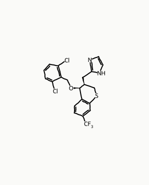 FC(F)(F)c1ccc2c(c1)SC[C@H](Cc1ncc[nH]1)[C@@H]2OCc1c(Cl)cccc1Cl